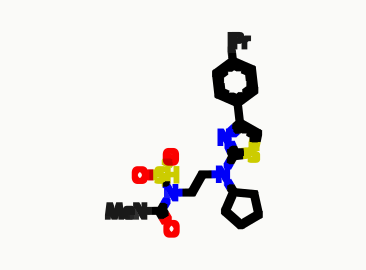 CNC(=O)N(CCN(c1nc(-c2ccc(C(C)C)cc2)cs1)C1CCCC1)[SH](=O)=O